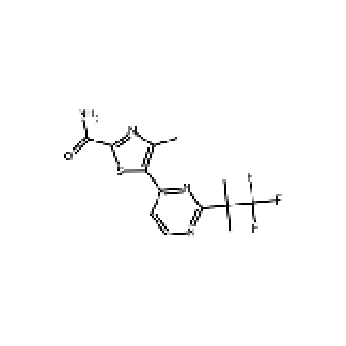 Cc1nc(C(N)=O)sc1-c1ccnc(C(C)(C)C(F)(F)F)n1